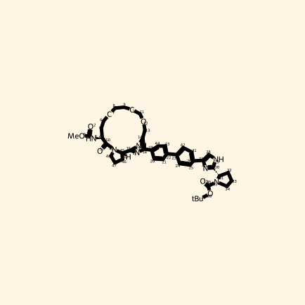 COC(=O)N[C@H]1CCCCCCCOCc2[nH]c(nc2-c2ccc(-c3ccc(-c4c[nH]c([C@@H]5CCCN5C(=O)OC(C)(C)C)n4)cc3)cc2)[C@@H]2CCCN2C1=O